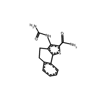 NC(=O)Nc1c(C(N)=O)sc2c1CCc1ccccc1-2